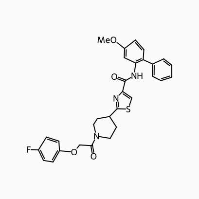 COc1ccc(-c2ccccc2)c(NC(=O)c2csc(C3CCN(C(=O)COc4ccc(F)cc4)CC3)n2)c1